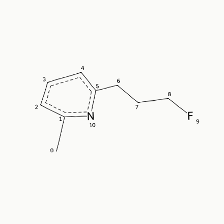 Cc1cccc(CCCF)n1